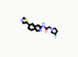 O=C(CN1CCC(F)C1)Nc1cc2cc(-c3cncs3)ccc2cn1